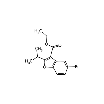 CCOC(=O)c1c(C(C)C)oc2ccc(Br)cc12